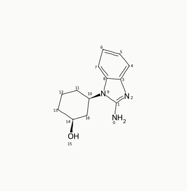 Nc1nc2ccccc2n1[C@@H]1CCC[C@H](O)C1